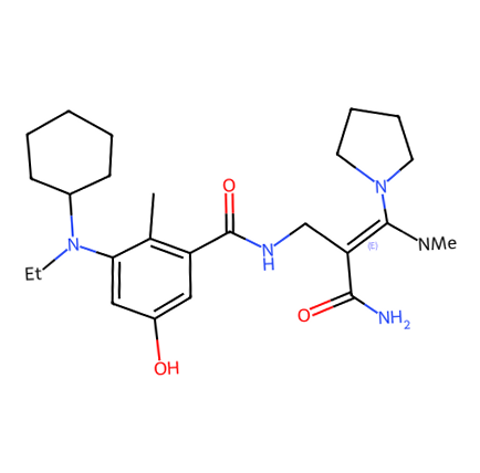 CCN(c1cc(O)cc(C(=O)NC/C(C(N)=O)=C(/NC)N2CCCC2)c1C)C1CCCCC1